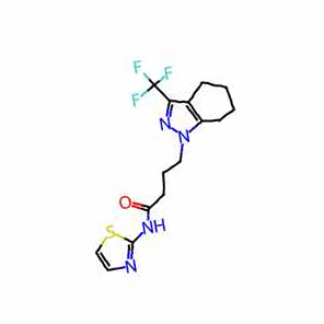 O=C(CCCn1nc(C(F)(F)F)c2c1CCCC2)Nc1nccs1